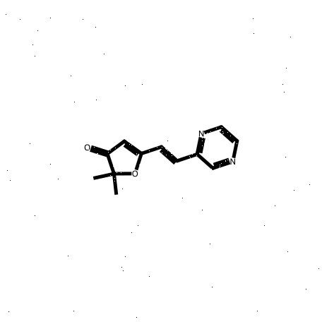 CC1(C)OC(C=Cc2cnccn2)=CC1=O